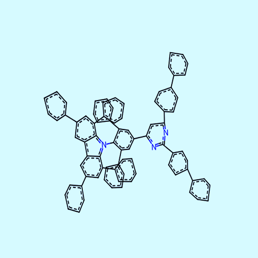 c1ccc(-c2ccc(-c3cc(-c4cc(-c5ccccc5)c(-n5c6c(-c7ccccc7)cc(-c7ccccc7)cc6c6cc(-c7ccccc7)cc(-c7ccccc7)c65)c(-c5ccccc5)c4)nc(-c4ccc(-c5ccccc5)cc4)n3)cc2)cc1